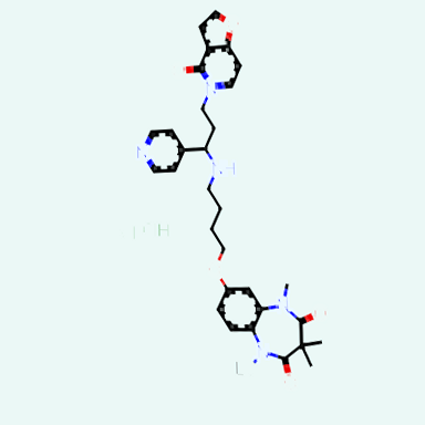 CCN1C(=O)C(C)(C)C(=O)N(C)c2cc(OCCCCNC(CCn3ccc4occc4c3=O)c3ccncc3)ccc21.Cl.Cl